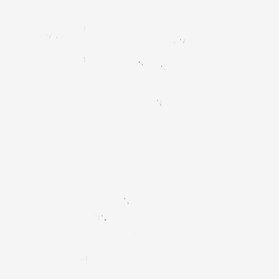 C[Si](C)(C)CCOCn1cc(C#N)nc1C(=O)Nc1ccc(C2CCN(C(=O)NCCO)CC2)cc1C1=CCCCC1